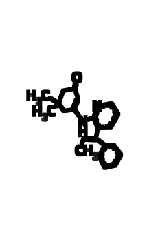 C/C=C(\c1ccccc1)c1cccnc1NC1=CC(=O)CC(C)(C)C1